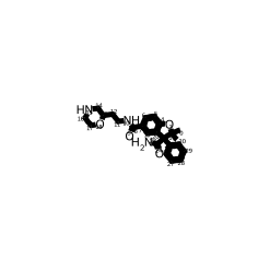 CC1(C)Oc2ccc(C(=O)NCCC3CNCCO3)cc2C1(C(N)=O)c1ccccc1